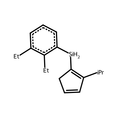 CCc1cccc([SiH2]C2=C(C(C)C)C=CC2)c1CC